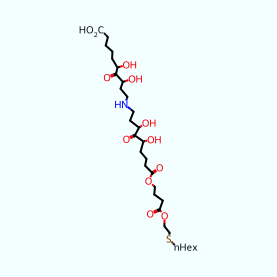 CCCCCCSCCOC(=O)CCCOC(=O)CCCC(O)C(=O)C(O)CCNCCC(O)C(=O)C(O)CCCCC(=O)O